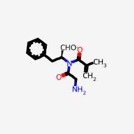 C=C(C)C(=O)N(C(=O)CN)[C@H]([C]=O)Cc1ccccc1